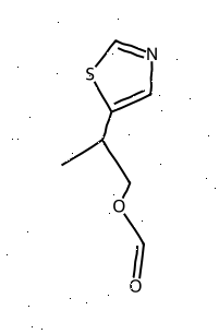 CC(COC=O)c1cncs1